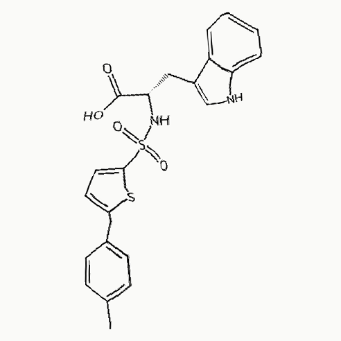 Cc1ccc(-c2ccc(S(=O)(=O)N[C@@H](Cc3c[nH]c4ccccc34)C(=O)O)s2)cc1